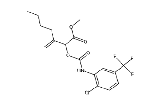 C=C(CCCC)C(OC(=O)Nc1cc(C(F)(F)F)ccc1Cl)C(=O)OC